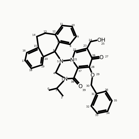 CC(C)N1CN(C2c3ccccc3CCc3ccccc32)n2cc(CO)c(=O)c(OCc3ccccc3)c2C1=O